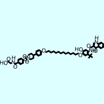 CC(C)(C)c1cc(OCCCCCCCCCCCCCCOc2ccc(C3CCN(S(=O)(=O)c4ccc(C(=O)NCC(=O)O)cc4)CC3)cc2)c(O)cc1NC(=O)c1c[nH]c2ccccc2c1=O